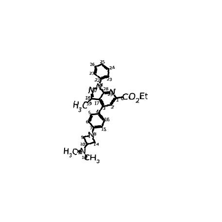 CCOC(=O)c1cc(-c2ccc(N3CC(N(C)C)C3)cc2)c2c(C)nn(-c3ccccc3)c2n1